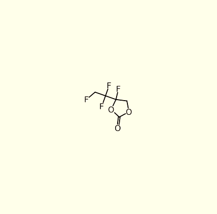 O=C1OCC(F)(C(F)(F)CF)O1